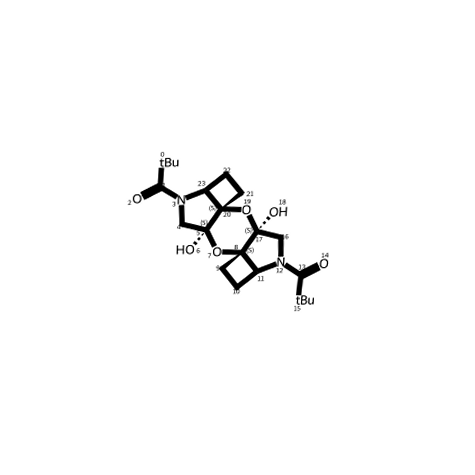 CC(C)(C)C(=O)N1C[C@]2(O)O[C@@]34CCC3N(C(=O)C(C)(C)C)C[C@]4(O)O[C@]23CCC13